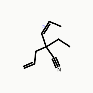 C=CCC(C#N)(/C=C\C)CC